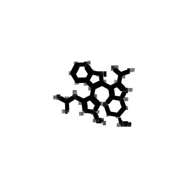 CN[C@@H]1COc2c(-c3[nH]c4ncccc4c3-c3cn(C)nc3OC(F)F)c(C(F)F)nn2C1